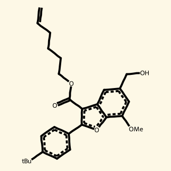 C=CCCCCOC(=O)c1c(-c2ccc(C(C)(C)C)cc2)oc2c(OC)cc(CO)cc12